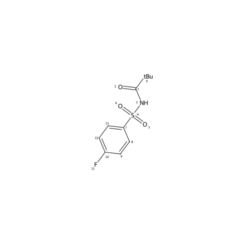 CC(C)(C)C(=O)NS(=O)(=O)c1ccc(F)cc1